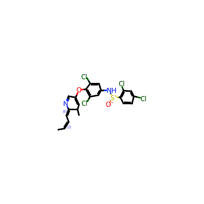 C/C=C\C=C1\N=CC(Oc2c(Cl)cc(N[S+]([O-])c3ccc(Cl)cc3Cl)cc2Cl)=CC1C